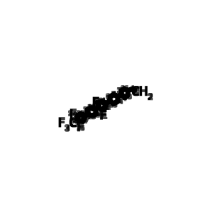 C=CC1CCC(C2CCC(c3cc(F)c(C4=CCC(c5cc(F)c(C(F)(F)F)c(F)c5)CC4)c(F)c3)CC2)CC1